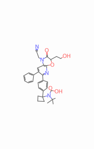 CC(C)(C)N(C(=O)O)C1(c2ccc(-c3nc4c(cc3-c3ccccc3)N(CC#N)C(=O)C(CCO)O4)cc2)CCC1